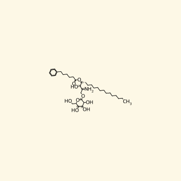 CCCCCCCCCCCCCC[C@@H](OC(=O)CCCCCc1ccccc1)[C@@H](O)[C@@H](N)CO[C@H]1OC(CO)[C@H](O)[C@H](O)C1O